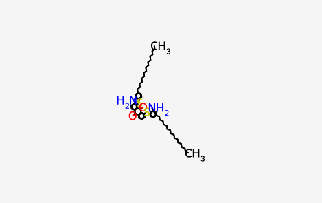 CCCCCCCCCCCCCCCCCc1ccc(Sc2cccc3c2C(=O)c2c(Sc4ccc(CCCCCCCCCCCCCCCCC)cc4N)cccc2C3=O)c(N)c1